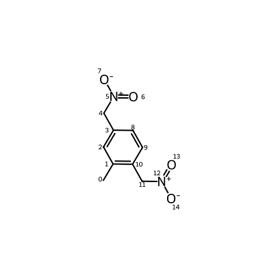 Cc1cc(C[N+](=O)[O-])ccc1C[N+](=O)[O-]